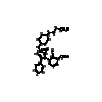 COc1cccc(-c2c(-c3ccccc3)nn(CC3CCC(COCC(=O)O)CC3)c2SC)c1F